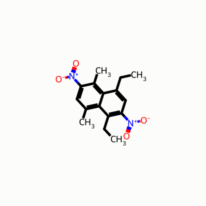 CCc1cc([N+](=O)[O-])c(CC)c2c(C)cc([N+](=O)[O-])c(C)c12